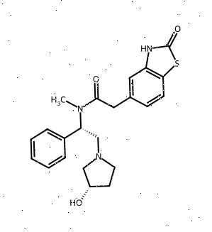 CN(C(=O)Cc1ccc2sc(=O)[nH]c2c1)[C@H](CN1CC[C@H](O)C1)c1ccccc1